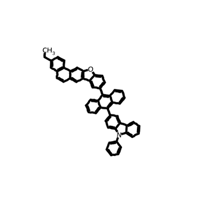 CCc1ccc2c(ccc3cc4c(cc32)oc2ccc(-c3c5ccccc5c(-c5ccc6c(c5)c5ccccc5n6-c5ccccc5)c5ccccc35)cc24)c1